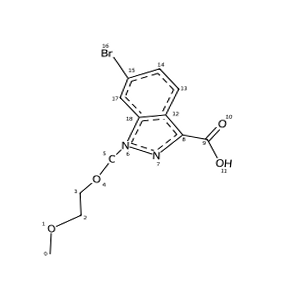 COCCOCn1nc(C(=O)O)c2ccc(Br)cc21